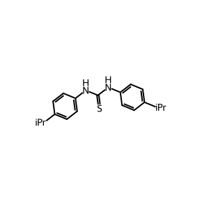 CC(C)c1ccc(NC(=S)Nc2ccc(C(C)C)cc2)cc1